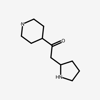 O=C(CC1CCCN1)C1CC[N]CC1